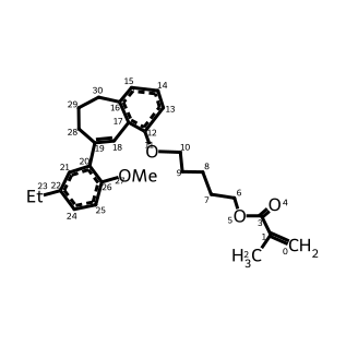 C=C(C)C(=O)OCCCCCOc1cccc2c1C=C(c1cc(CC)ccc1OC)CCC2